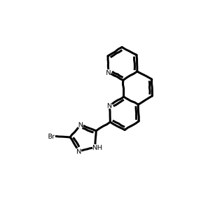 Brc1n[nH]c(-c2ccc3ccc4cccnc4c3n2)n1